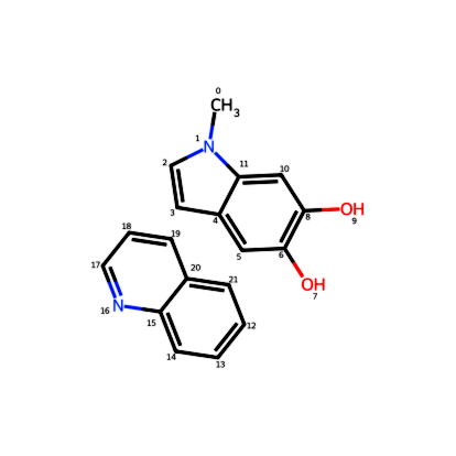 Cn1ccc2cc(O)c(O)cc21.c1ccc2ncccc2c1